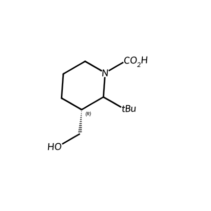 CC(C)(C)C1[C@H](CO)CCCN1C(=O)O